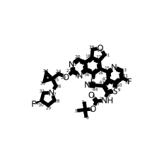 CC(C)(C)OC(=O)Nc1sc2c(F)cnc(-c3c4c(c5cnc(OCC6(CN7CC[C@@H](F)C7)CC6)nc5c3F)COC4)c2c1C#N